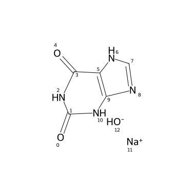 O=c1[nH]c(=O)c2[nH]cnc2[nH]1.[Na+].[OH-]